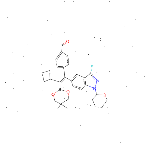 CC1(C)COB(/C(=C(/c2ccc(C=O)cc2)c2ccc3c(c2)c(F)nn3C2CCCCO2)C2CCC2)OC1